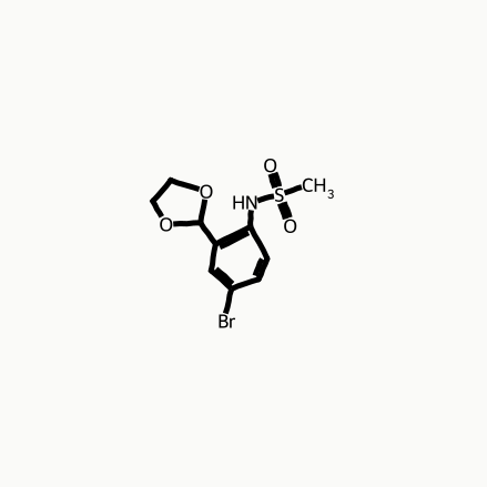 CS(=O)(=O)Nc1ccc(Br)cc1C1OCCO1